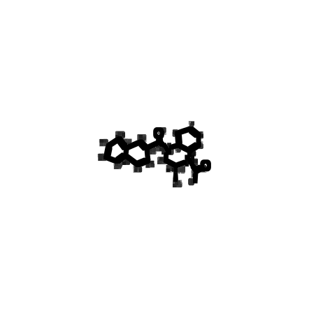 CC(=O)N1c2ccccc2N(C(=O)c2ccc3ccccc3c2)C[C@@H]1C